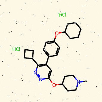 CN1CCC(Oc2cc(-c3ccc(OC4CCCCC4)cc3)c(C3CCC3)nn2)CC1.Cl.Cl